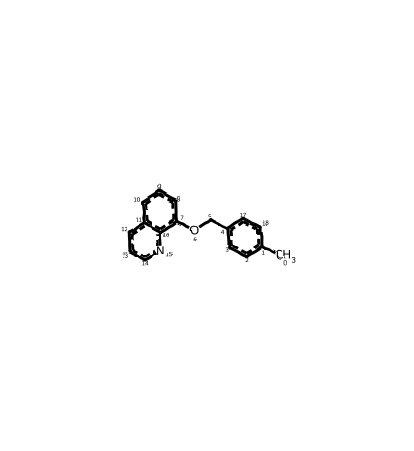 Cc1ccc(COc2cccc3cccnc23)cc1